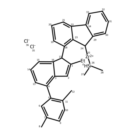 CCC1=Cc2c(-c3cc(C)ccc3C)cccc2C1c1cccc2c1[CH]([Zr+2][SiH](C)C)c1ccccc1-2.[Cl-].[Cl-]